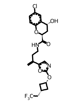 C=C(CCNC(=O)[C@@H]1C[C@@H](O)c2cc(Cl)ccc2O1)c1cnc(O[C@H]2C[C@@H](CC(F)(F)F)C2)o1